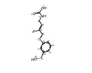 O=C(O)NCC=C(F)CSc1cccc(CO)c1